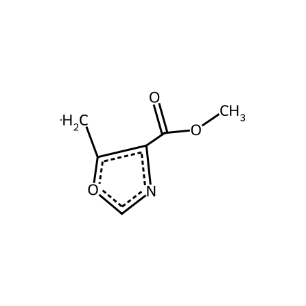 [CH2]c1ocnc1C(=O)OC